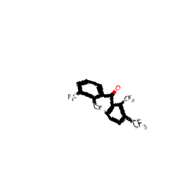 O=C(c1cccc(C(F)(F)F)c1C(F)(F)F)c1cccc(C(F)(F)F)c1C(F)(F)F